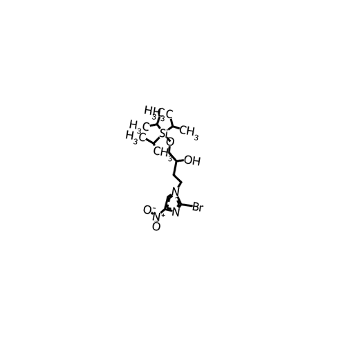 CC(C)[Si](OCC(O)CCn1cc([N+](=O)[O-])nc1Br)(C(C)C)C(C)C